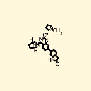 CN1CCC[C@H]1COc1nc(N2C[C@H]3CC[C@@H](C2)N3)c2ccc(-c3ccc4c(c3)NC(=O)C4)cc2n1